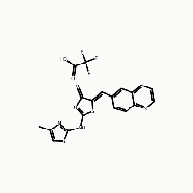 Cc1csc(NC2=NC(=O)/C(=C/c3ccc4ncccc4c3)S2)n1.O=C(O)C(F)(F)F